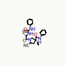 C=C[C@]1(C(=O)Nc2ccccc2)C[C@@H](C#N)N(C(=O)[C@H](CC(C)(C)C)NC(=O)Nc2ccccc2)C1